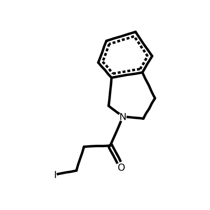 O=C(CCI)N1CCc2ccccc2C1